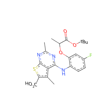 Cc1nc(Nc2ccc(F)cc2OC(C)C(=O)OC(C)(C)C)c2c(C)c(C(=O)O)sc2n1